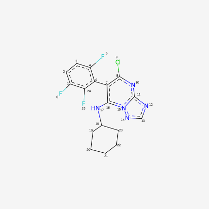 Fc1ccc(F)c(-c2c(Cl)nc3ncnn3c2NC2CCCCC2)c1F